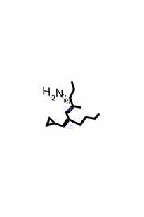 CCCCC(=C/C1CC1)/C=C(\C)[C@H](N)CC